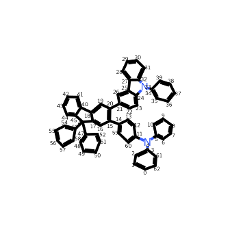 c1ccc(N(c2ccccc2)c2ccc(-c3cc4c(cc3-c3ccc5c(c3)c3ccccc3n5-c3ccccc3)-c3ccccc3C4(c3ccccc3)c3ccccc3)cc2)cc1